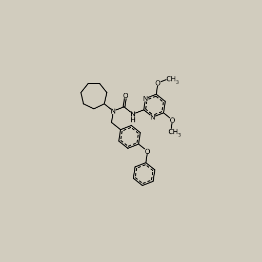 COc1cc(OC)nc(NC(=O)N(Cc2ccc(Oc3ccccc3)cc2)C2CCCCCC2)n1